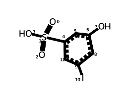 O=S(=O)(O)c1cc(O)cc(I)c1